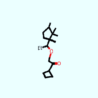 CCC(OCC(=O)C1CCC1)C1(C)CCC(C)C1(C)C